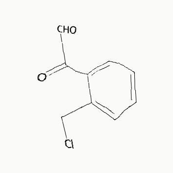 O=CC(=O)c1ccccc1CCl